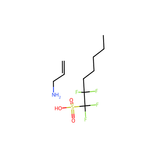 C=CCN.CCCCCC(F)(F)C(F)(F)S(=O)(=O)O